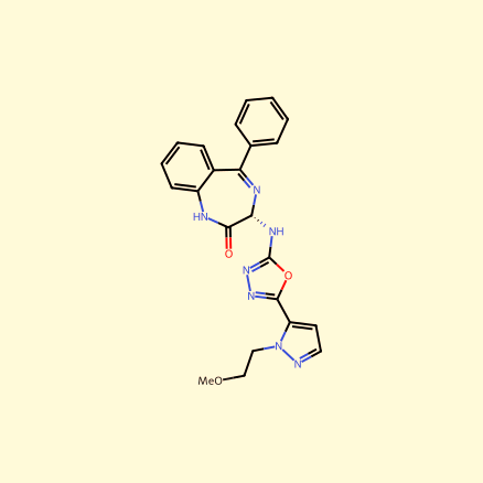 COCCn1nccc1-c1nnc(N[C@H]2N=C(c3ccccc3)c3ccccc3NC2=O)o1